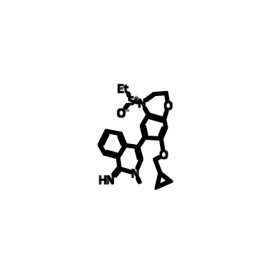 CC[S+]([O-])N1CCOc2cc(OCC3CC3)c(-c3cn(C)c(=N)c4ccccc34)cc21